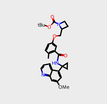 COc1cc(C2(NC(=O)c3cc(OCC4CCN4C(=O)OC(C)(C)C)ccc3C)CC2)c2cccnc2c1